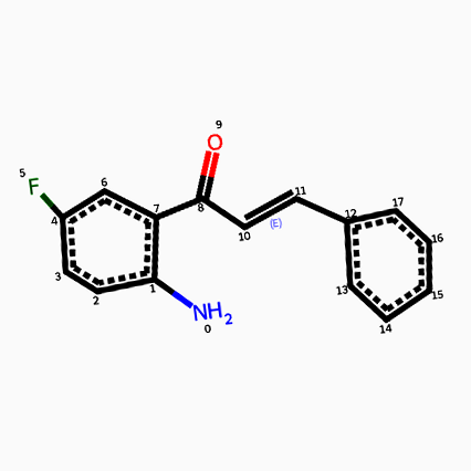 Nc1ccc(F)cc1C(=O)/C=C/c1ccccc1